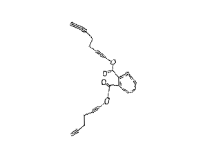 C#CCCC#COC(=O)c1ccccc1C(=O)OC#CCCC#C